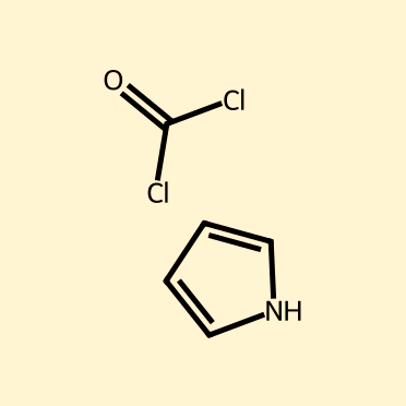 O=C(Cl)Cl.c1cc[nH]c1